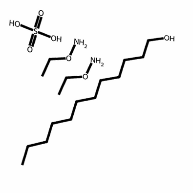 CCCCCCCCCCCCO.CCON.CCON.O=S(=O)(O)O